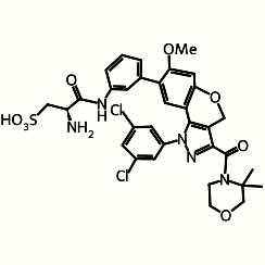 COc1cc2c(cc1-c1cccc(NC(=O)[C@@H](N)CS(=O)(=O)O)c1)-c1c(c(C(=O)N3CCOCC3(C)C)nn1-c1cc(Cl)cc(Cl)c1)CO2